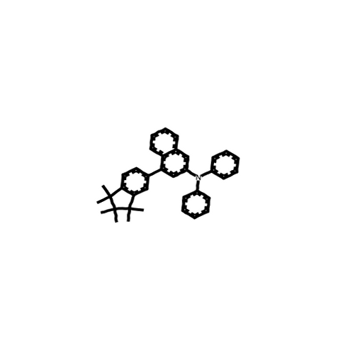 CC1(C)c2ccc(-c3cc(N(c4ccccc4)c4ccccc4)cc4ccccc34)cc2C(C)(C)C1(C)C